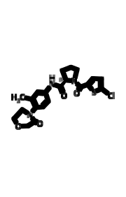 Cc1cc(NC(=O)[C@H]2CCCN2C(=O)c2ccc(Cl)s2)ccc1N1CCOCC1=O